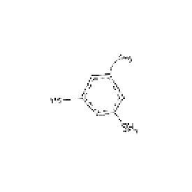 [SiH3]c1cc([SiH3])cc(S)c1